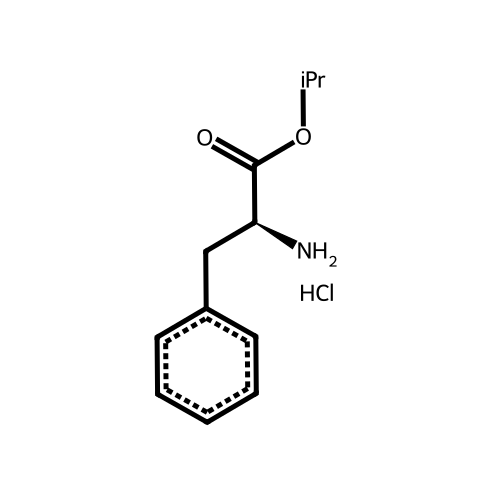 CC(C)OC(=O)[C@@H](N)Cc1ccccc1.Cl